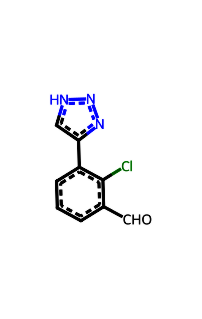 O=Cc1cccc(-c2c[nH]nn2)c1Cl